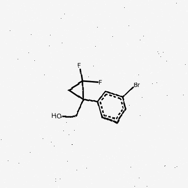 OCC1(c2cccc(Br)c2)CC1(F)F